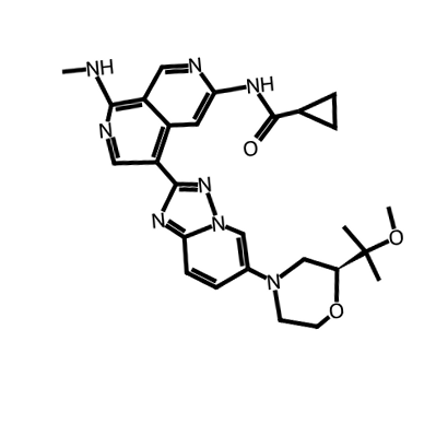 CNc1ncc(-c2nc3ccc(N4CCO[C@H](C(C)(C)OC)C4)cn3n2)c2cc(NC(=O)C3CC3)ncc12